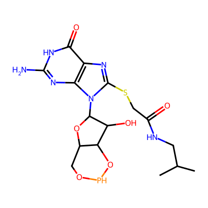 CC(C)CNC(=O)CSc1nc2c(=O)[nH]c(N)nc2n1C1OC2COPOC2C1O